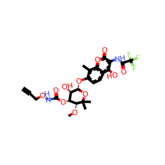 C#CCONC(=O)O[C@@H]1[C@@H](O)[C@H](Oc2ccc3c(O)c(NC(=O)C(F)(F)F)c(=O)oc3c2C)OC(C)(C)[C@@H]1OC